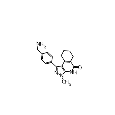 Cn1nc(-c2ccc(CN)cc2)c2c3c(c(=O)[nH]c21)CCCC3